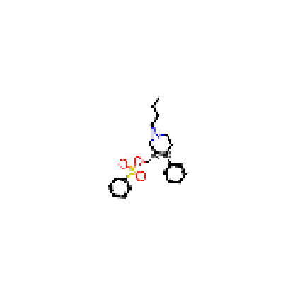 CCCCN1CC[C@@H](c2ccccc2)[C@H](COS(=O)(=O)c2ccccc2)C1